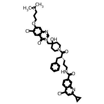 CN(C)CCCOc1cc2ncn(CC3(O)CCN(C(=O)[C@H](CCCNC(=O)c4ccc5c(Cl)cc(C6CC6)nc5c4)Cc4ccccc4)CC3)c(=O)c2cc1Cl